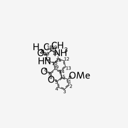 COc1cccc2oc(=O)c3c4c(ccc3c12)NC(C)(C)C(=O)N4